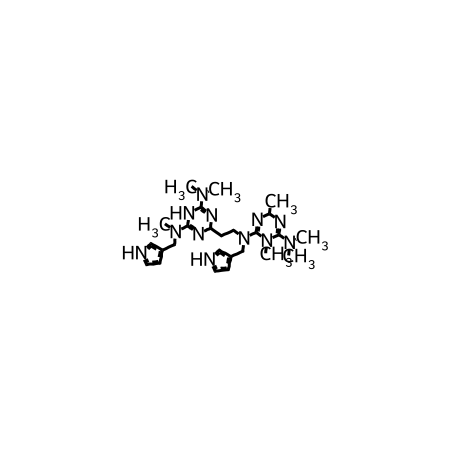 CC1N=C(N(C)C)N(C)C(N(CCC2N=C(N(C)C)NC(N(C)Cc3cc[nH]c3)=N2)Cc2cc[nH]c2)=N1